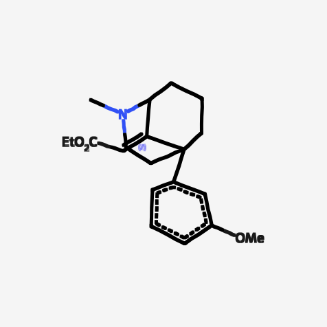 CCOC(=O)/C=C1\C2CCCC1(c1cccc(OC)c1)CCN2C